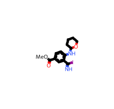 COC(=O)c1ccc(NC2CCCCO2)c(C(=N)I)c1